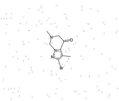 Cc1c(Br)nn2c1C(=O)CN(C)C2